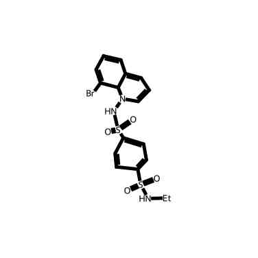 CCNS(=O)(=O)c1ccc(S(=O)(=O)NN2C=CC=C3C=CC=C(Br)C32)cc1